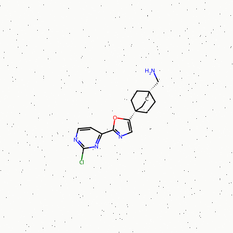 NC[C@]12CC[C@](c3cnc(-c4ccnc(Cl)n4)o3)(CC1)CC2